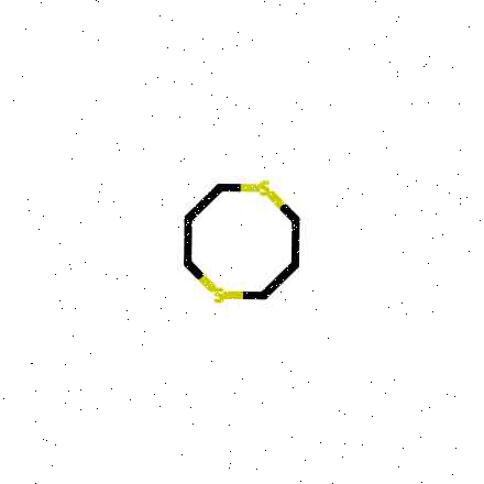 C1CSCCCSC1